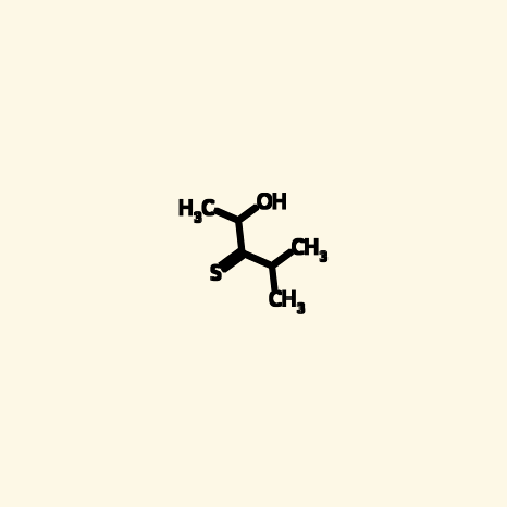 CC(C)C(=S)C(C)O